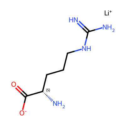 N=C(N)NCCC[C@H](N)C(=O)[O-].[Li+]